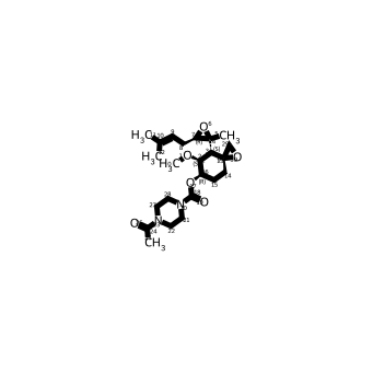 CO[C@H]1[C@H](C2(C)O[C@@H]2CC=C(C)C)[C@]2(CC[C@H]1OC(=O)N1CCN(C(C)=O)CC1)CO2